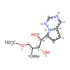 COC(COC(=O)O)[C@@H](O)[C@@H](O)c1ccc2cncnn12